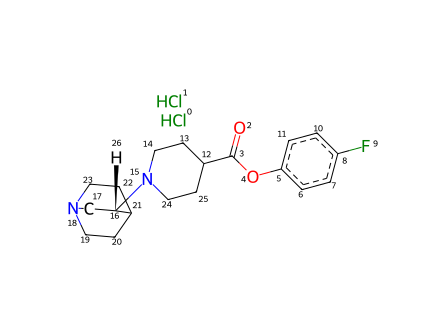 Cl.Cl.O=C(Oc1ccc(F)cc1)C1CCN([C@H]2CN3CCC2CC3)CC1